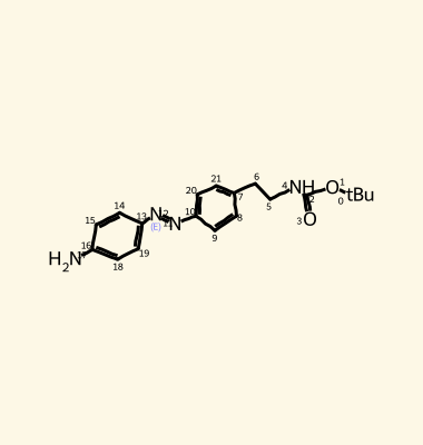 CC(C)(C)OC(=O)NCCc1ccc(/N=N/c2ccc(N)cc2)cc1